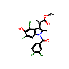 Cc1c([C@@H](C)C(=O)OC(C)C)c2c(F)c(O)c(F)cc2n1C(=O)c1ccc(F)c(F)c1